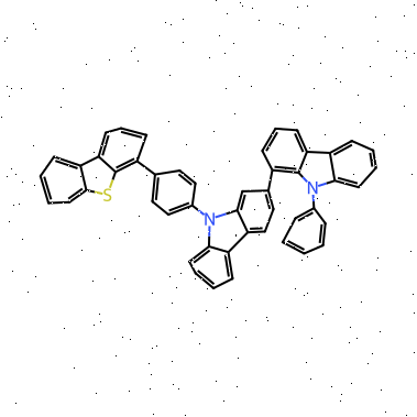 c1ccc(-n2c3ccccc3c3cccc(-c4ccc5c6ccccc6n(-c6ccc(-c7cccc8c7sc7ccccc78)cc6)c5c4)c32)cc1